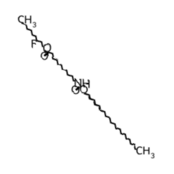 CCCCCCCCCCCCCCCCCCCCCCOC(=O)NCCCCCCCCCCC(=O)OCCC(F)CCCCCCC